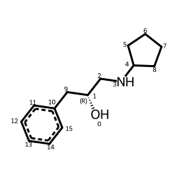 O[C@@H](CNC1CCCC1)Cc1ccccc1